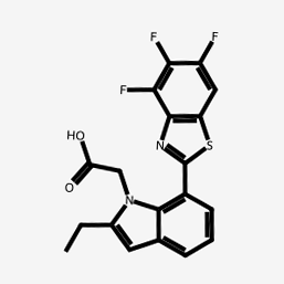 CCc1cc2cccc(-c3nc4c(F)c(F)c(F)cc4s3)c2n1CC(=O)O